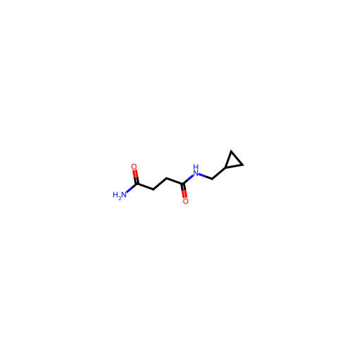 NC(=O)CCC(=O)NCC1CC1